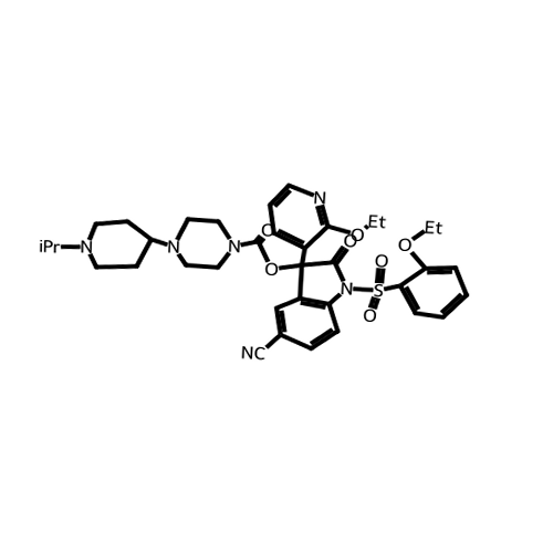 CCOc1ccccc1S(=O)(=O)N1C(=O)C(OC(=O)N2CCN(C3CCN(C(C)C)CC3)CC2)(c2cccnc2OCC)c2cc(C#N)ccc21